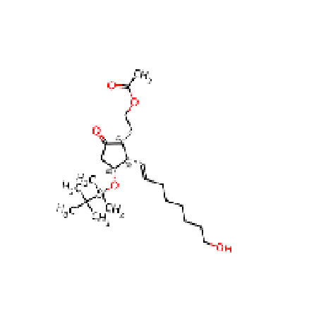 CC(=O)OCC[C@H]1C(=O)C[C@@H](O[Si](C)(C)C(C)(C)C)[C@H]1C=CCCCCCCO